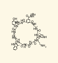 CCCCNC(=O)c1cc2cc(c1)C(=O)N[C@@H](CCCC)C(=O)N[C@@H](Cc1ccc(O)cc1)C(=O)NCC(=O)NCC(=O)N[C@@H](Cc1c[nH]c3ccccc13)C(=O)NCC(=O)NCC(=O)N[C@H](CCCCN)C(=O)N[C@@H](Cc1c[nH]cn1)C(=O)NC(C)CNC2=O